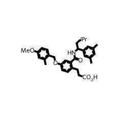 COc1ccc(COc2ccc(CCC(=O)O)c(C(=O)NC(CC(C)C)c3cc(C)cc(C)c3)c2)c(C)c1